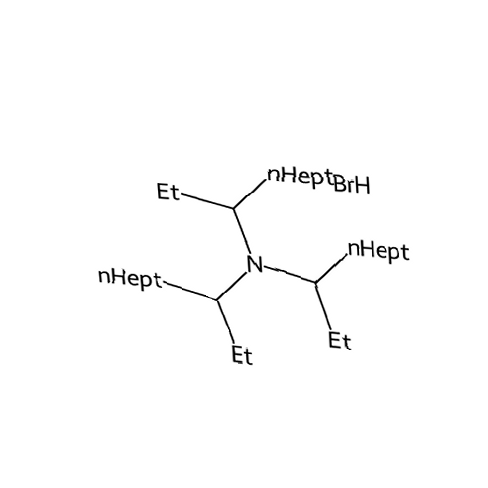 Br.CCCCCCCC(CC)N(C(CC)CCCCCCC)C(CC)CCCCCCC